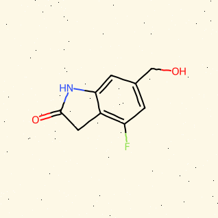 O=C1Cc2c(F)cc(CO)cc2N1